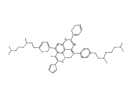 CC1=C(C2C=CC=C2)SC2CC(c3ccc(CCC(C)CCCC(C)C)cc3)=C3N=C(C4=CC=CCC4)Sc4cc(C5=CC=C(CCC(C)CCCC(C)C)CC5)c1c2c43